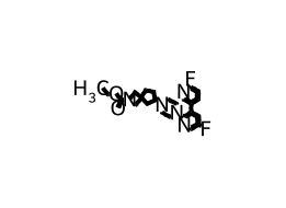 CCOC(=O)N1CC2(CC[C@@H](N3CCN(c4ncc(F)cc4-c4ccc(F)nc4)CC3)C2)C1